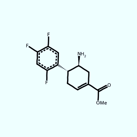 COC(=O)C1=CC[C@H](c2cc(F)c(F)cc2F)[C@@H](N)C1